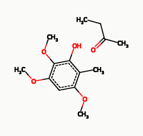 CCC(C)=O.COc1cc(OC)c(OC)c(O)c1C